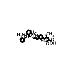 CCc1cc(C(=O)O)c(=O)[nH]c1-c1ccc2c(c1)cc(CN1C[C@H]3CCC[C@@H](N(C)Cc4ccccc4)[C@H]3C1)n2C